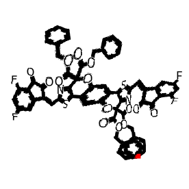 O=C1C(=O)c2c(F)cc(F)cc2/C1=C/c1nc2c(s1)-c1cc3c(cc1OC2(C(=O)OCc1ccccc1)C(=O)OCc1ccccc1)-c1sc(/C=C2\C(=O)C(=O)c4c(F)cc(F)cc42)nc1C(C(=O)OCc1ccccc1)(C(=O)OCc1ccccc1)O3